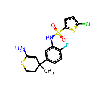 CC1(c2ccc(F)c(NS(=O)(=O)c3ccc(Cl)s3)c2)C=C(N)SCC1